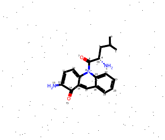 CC(C)C[C@H](N)C(=O)n1c2ccc(N)c(=O)c-2cc2ccccc21